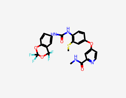 CNC(=O)c1cc(Oc2ccc(NC(=O)Nc3ccc4c(c3)C(F)(F)OC(F)(F)O4)c(SC)c2)ccn1